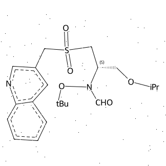 CC(C)OC[C@@H](CS(=O)(=O)Cc1cnc2ccccc2c1)N(C=O)OC(C)(C)C